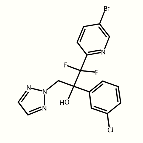 OC(Cn1nccn1)(c1cccc(Cl)c1)C(F)(F)c1ccc(Br)cn1